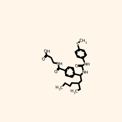 CCCCC(CC)CC(NC(=O)Nc1ccc(SC)cc1)c1ccc(C(=O)NCCC(=O)O)cc1